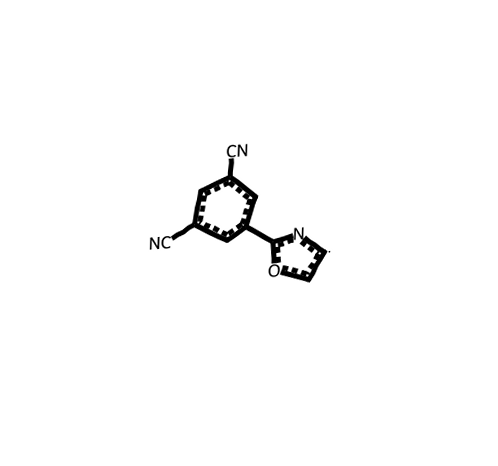 N#Cc1cc(C#N)cc(-c2n[c]co2)c1